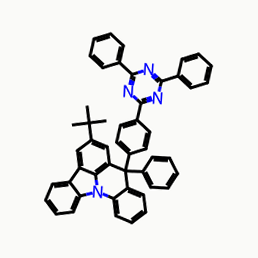 CC(C)(C)c1cc2c3c(c1)c1ccccc1n3-c1ccccc1C2(c1ccccc1)c1ccc(-c2nc(-c3ccccc3)nc(-c3ccccc3)n2)cc1